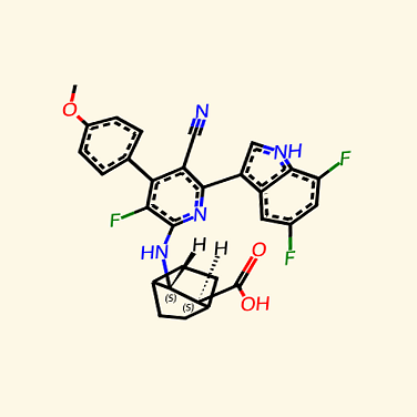 COc1ccc(-c2c(F)c(N[C@H]3C4CCC(CC4)[C@@H]3C(=O)O)nc(-c3c[nH]c4c(F)cc(F)cc34)c2C#N)cc1